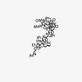 C/C=C/C[C@@H](C)[C@@H](OC(C)=O)[C@@H](C(=O)N[C@@H](CC)C(=O)OCCN(C)C(C)=O)N(C)C(=O)[C@H](C(C)C)N(C)C(=O)[C@H](CC(C)C)N(C)C(=O)[C@H](CC(C)C)N(C)C(=O)[C@@H](C)NC(=O)[C@H](C)NC(=O)[C@H](CC(C)C)N(C)C(=O)[C@@H](NC(=O)[C@@H](NC)[C@@H](C)COC)C(C)C